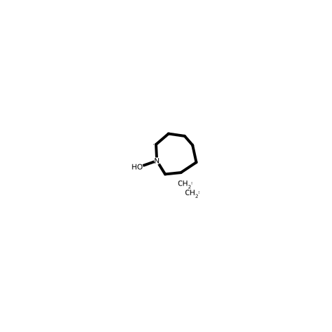 ON1[CH]CCCCCC1.[CH2].[CH2]